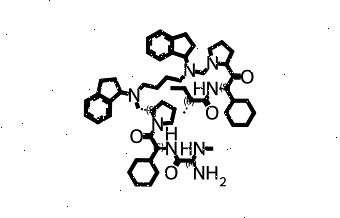 CC[C@@H](C)C(=O)N[C@H](C(=O)C1CCCN1CN(CCCCN(C[C@@H]1CCCN1C(=O)[C@@H](NC(=O)[C@H](N)NC)C1CCCCC1)C1CCc2ccccc21)C1CCc2ccccc21)C1CCCCC1